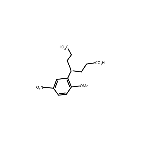 COc1ccc([N+](=O)[O-])cc1N(CCC(=O)O)CCC(=O)O